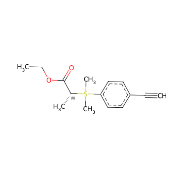 C#Cc1ccc(S(C)(C)[C@H](C)C(=O)OCC)cc1